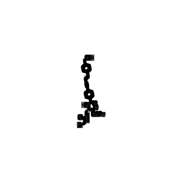 COC(=O)[C@H](CNC(=O)CBr)NC(=O)c1ccc(C#C/C=C/c2ccc(CO)cc2)cc1